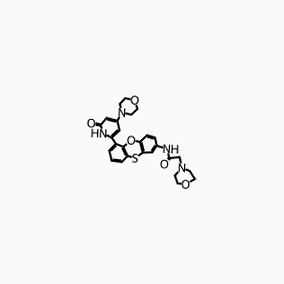 O=C(CN1CCOCC1)Nc1ccc2c(c1)Sc1cccc(-c3cc(N4CCOCC4)cc(=O)[nH]3)c1O2